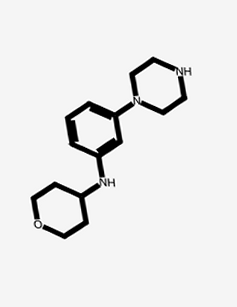 [c]1ccc(N2CCNCC2)cc1NC1CCOCC1